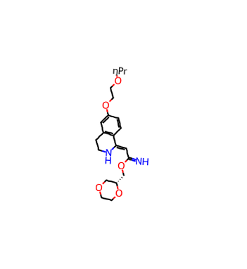 CCCOCCOc1ccc2c(c1)CCN/C2=C\C(=N)OC[C@H]1COCCO1